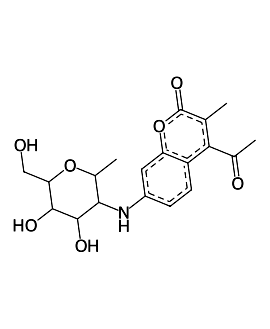 CC(=O)c1c(C)c(=O)oc2cc(NC3C(C)OC(CO)C(O)C3O)ccc12